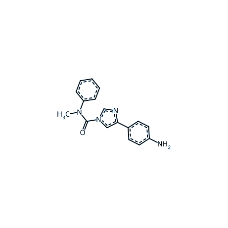 CN(C(=O)n1cnc(-c2ccc(N)cc2)c1)c1ccccc1